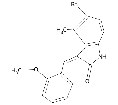 COc1ccccc1C=C1C(=O)Nc2ccc(Br)c(C)c21